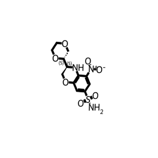 NS(=O)(=O)c1cc2c(c([N+](=O)[O-])c1)N[C@H]([C@H]1COCCO1)CO2